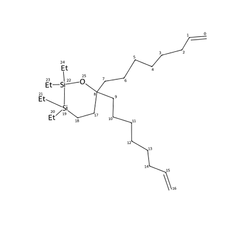 C=CCCCCCCC1(CCCCCCC=C)CC[Si](CC)(CC)[Si](CC)(CC)O1